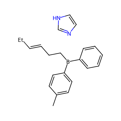 CCC=CCCB(c1ccccc1)c1ccc(C)cc1.c1c[nH]cn1